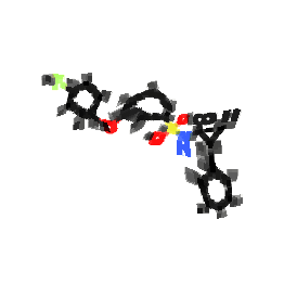 O=C(O)[C@@]1(NS(=O)(=O)c2cccc(Oc3ccc(F)cc3)c2)C[C@H]1c1ccccc1